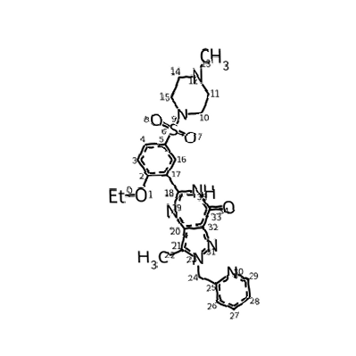 CCOc1ccc(S(=O)(=O)N2CCN(C)CC2)cc1-c1nc2c(C)n(Cc3ccccn3)nc2c(=O)[nH]1